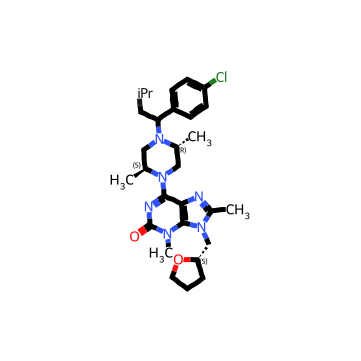 Cc1nc2c(N3C[C@@H](C)N(C(CC(C)C)c4ccc(Cl)cc4)C[C@@H]3C)nc(=O)n(C)c2n1C[C@@H]1CCCO1